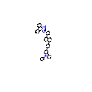 C1=Cc2c(-c3cccc(-c4cnc5c6ccccc6c6ccccc6c5n4)c3)cccc2C(c2ccc(-c3ccc4c(c3)c3ccccc3n4-c3ccccc3)cc2)C1